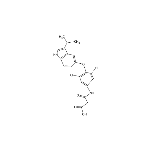 CC(C)c1c[nH]c2ccc(Oc3c(Cl)cc(NC(=O)CC(=O)O)cc3Cl)cc12